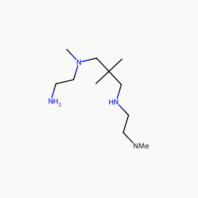 CNCCNCC(C)(C)CN(C)CCN